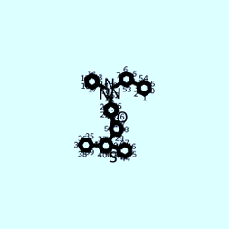 c1ccc(-c2cccc(-c3nc(-c4ccccc4)nc(-c4ccc5c(c4)oc4ccc(-c6cc(-c7ccccc7)cc7sc8ccccc8c67)cc45)n3)c2)cc1